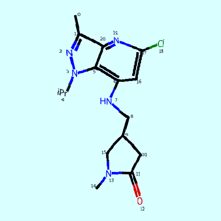 Cc1nn(C(C)C)c2c(NCC3CC(=O)N(C)C3)cc(Cl)nc12